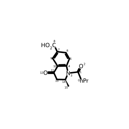 CCCC(=O)N1c2ccc(C(=O)O)cc2C(=O)C[C@@H]1C